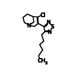 CCCCCCc1nsnc1C1=C(Cl)C2CCCN(C1)C2